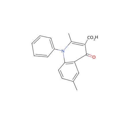 Cc1ccc2c(c1)c(=O)c(C(=O)O)c(C)n2-c1ccccc1